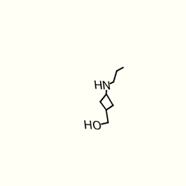 CCCNC1CC(CO)C1